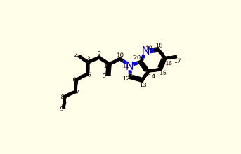 C=C(CC(C)CCCCC)Cn1ccc2cc(C)cnc21